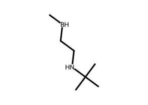 CBCCNC(C)(C)C